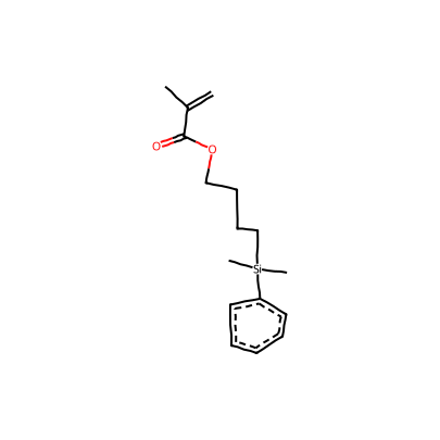 C=C(C)C(=O)OCCCC[Si](C)(C)c1ccccc1